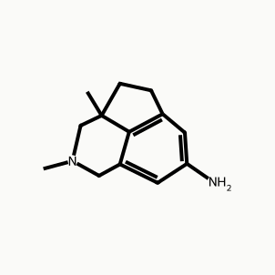 CN1Cc2cc(N)cc3c2C(C)(CC3)C1